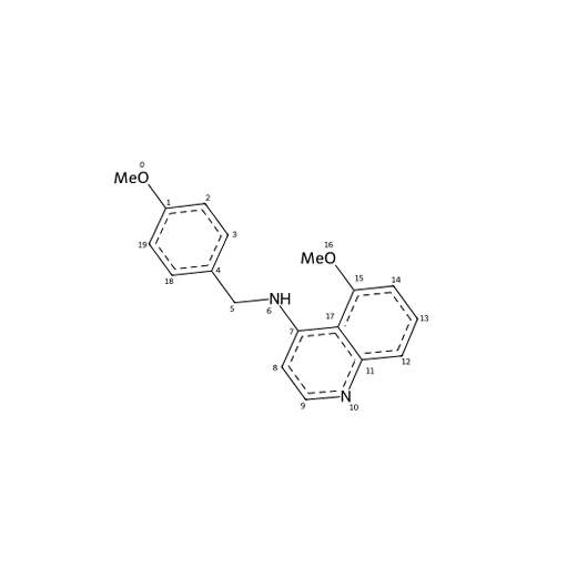 COc1ccc(CNc2ccnc3cccc(OC)c23)cc1